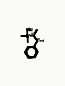 CCCC[N+](C)(C)[C@@H](C)[C@H](C)c1ccccc1